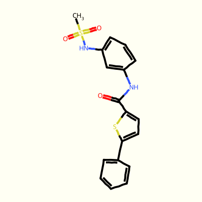 CS(=O)(=O)Nc1cccc(NC(=O)c2ccc(-c3ccccc3)s2)c1